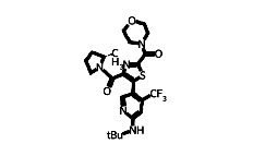 C[C@H]1CCCN1C(=O)c1nc(C(=O)N2CCOCC2)sc1-c1cnc(NC(C)(C)C)cc1C(F)(F)F